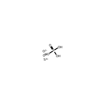 O=P(O)(O)O.[O-2].[O-2].[Ti+4]